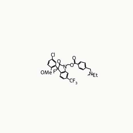 CCN(C)Cc1ccc(C(=O)OCN2C(=O)[C@@](F)(c3cc(Cl)ccc3OC)c3ccc(C(F)(F)F)cc32)cc1